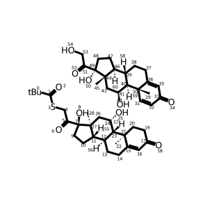 CC(C)(C)C(=O)SCC(=O)[C@@]1(O)CC[C@H]2[C@@H]3CCC4=CC(=O)CC[C@]4(C)[C@H]3[C@@H](O)C[C@@]21C.C[C@]12C=CC(=O)C=C1CC[C@@H]1[C@@H]2[C@@H](O)C[C@@]2(C)[C@H]1CC[C@]2(O)C(=O)CO